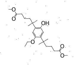 CCOc1cc(C(C)(C)CCCC(=O)OC)c(O)cc1C(C)(C)CCCC(=O)OC